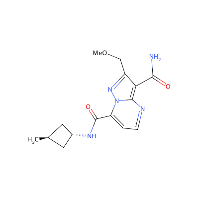 COCc1nn2c(C(=O)N[C@H]3C[C@H](C)C3)ccnc2c1C(N)=O